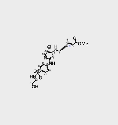 COC(=O)/C=C(\C)C#CCNc1nc(Nc2ccc(S(=O)(=O)NCCO)cc2)ncc1Cl